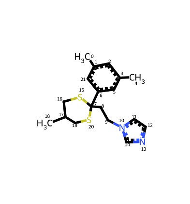 Cc1cc(C)cc(C2(CCn3ccnc3)SCC(C)CS2)c1